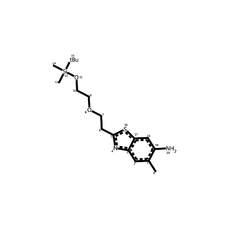 Cc1cc2nc(CCOCCO[Si](C)(C)C(C)(C)C)sc2cc1N